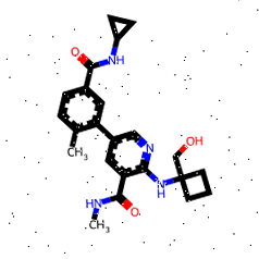 CNC(=O)c1cc(-c2cc(C(=O)NC3CC3)ccc2C)cnc1NC1(CO)CCC1